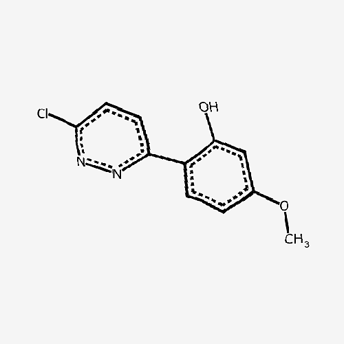 COc1ccc(-c2ccc(Cl)nn2)c(O)c1